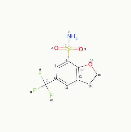 NS(=O)(=O)c1cc(C(F)(F)F)cc2c1OCC2